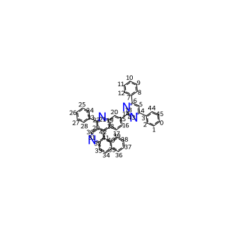 c1ccc(-c2cc(-c3ccccc3)nc(-c3ccc4c(c3)nc(-c3ccccc3)c3cnc5ccc6ccccc6c5c34)n2)cc1